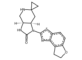 O=C1N[C@H]2CNC3(CC3)C[C@H]2N1c1nc2c3c(ccc2s1)OCC3